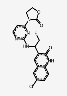 O=C1OCCN1c1ccnc(NC(CF)c2cc3cc(Cl)ccc3[nH]c2=O)n1